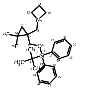 CC(C)(C)[Si](OCC1(CN2CCC2)CC1(F)F)(c1ccccc1)c1ccccc1